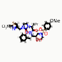 COc1ccc(S(=O)(=O)N(CC(C)C)C[C@H](O)[C@H](Cc2ccccc2)NC(=O)[C@H](C(C)C)N2CCN(Cc3csc([N+](=O)[O-])n3)C2=O)cc1